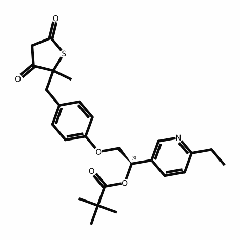 CCc1ccc([C@H](COc2ccc(CC3(C)SC(=O)CC3=O)cc2)OC(=O)C(C)(C)C)cn1